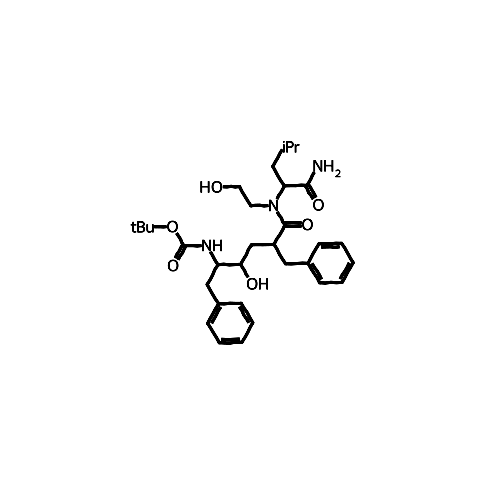 CC(C)CC(C(N)=O)N(CCO)C(=O)C(Cc1ccccc1)CC(O)C(Cc1ccccc1)NC(=O)OC(C)(C)C